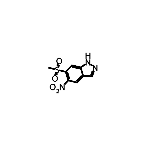 CS(=O)(=O)c1cc2[nH]ncc2cc1[N+](=O)[O-]